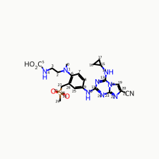 CN(CCNC(=O)O)c1ccc(Nc2nc(NC3CC3)n3cc(C#N)nc3n2)cc1CS(C)(=O)=O